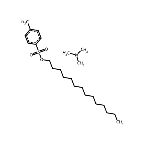 CCCCCCCCCCCCCCOS(=O)(=O)c1ccc(C)cc1.CN(C)C